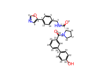 O=C(NCc1ccc(-c2cnco2)cc1)[C@@H]1CCCN1C(=O)c1cccc(-c2ccc(O)cc2)c1